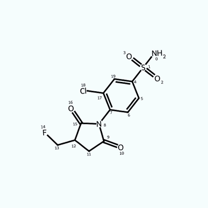 NS(=O)(=O)c1ccc(N2C(=O)CC(CF)C2=O)c(Cl)c1